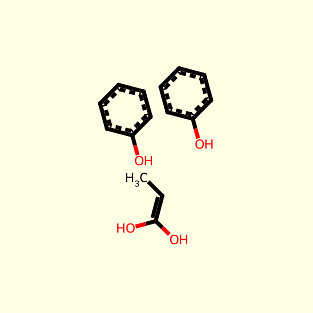 CC=C(O)O.Oc1ccccc1.Oc1ccccc1